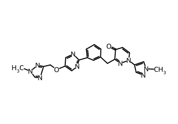 Cn1cc(-n2ccc(=O)c(Cc3cccc(-c4ncc(OCc5ncn(C)n5)cn4)c3)n2)cn1